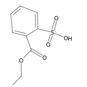 CCOC(=O)c1ccccc1S(=O)(=O)O